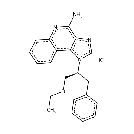 CCOC[C@H](Cc1ccccc1)n1cnc2c(N)nc3ccccc3c21.Cl